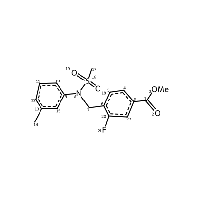 COC(=O)c1ccc(CN(c2cccc(C)c2)S(C)(=O)=O)c(F)c1